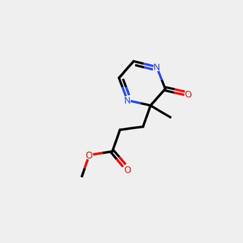 COC(=O)CCC1(C)N=CC=NC1=O